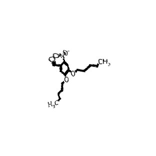 CCCCCOc1cc(C=O)c([N+](=O)[O-])cc1OCCCCC